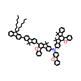 CCCCCCCC1(CCCCCCC)c2ccccc2-c2ccc(-c3ccc4c(c3)C(C)(C)c3cc(-c5cc6c(c7c5oc5ccccc57)-c5ccc(N(c7ccc8c(c7)C(C)(C)c7c9c(c%10c(oc%11ccccc%11%10)c7-8)-c7ccccc7C9(C)C)c7ccc8c(c7)oc7ccccc78)cc5C6(C)C)ccc3-4)cc21